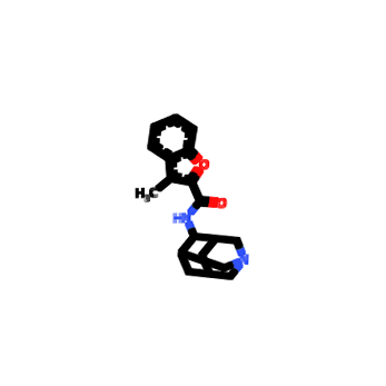 Cc1c(C(=O)NC2C3CC4CC2CN(C4)C3)oc2ccccc12